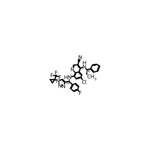 CC[C@@H](Nc1c(C#N)cnc2c(N[C@@H](c3ccc(F)cc3)c3cn(C4(C(F)(F)F)CC4)nn3)cc(Cl)cc12)c1ccccc1